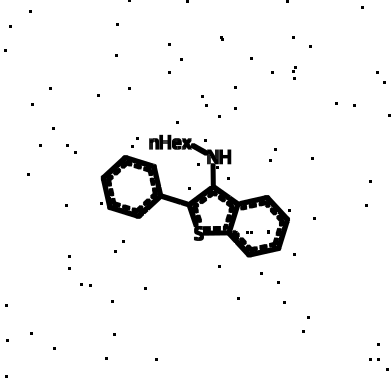 CCCCCCNc1c(-c2ccccc2)sc2ccccc12